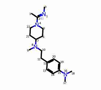 C/N=C(\C)N1CCC(N(C)CCc2ccc(N(C)C)cc2)CC1